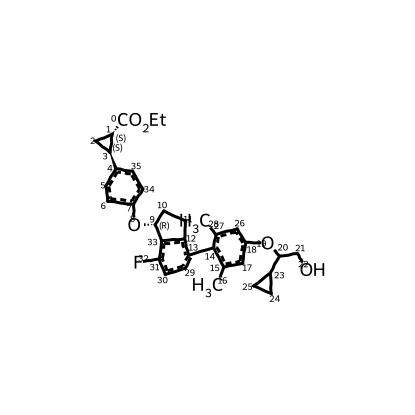 CCOC(=O)[C@H]1C[C@@H]1c1ccc(O[C@@H]2CCc3c(-c4c(C)cc(OC(CO)C5CC5)cc4C)ccc(F)c32)cc1